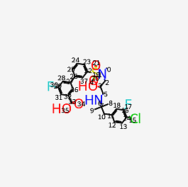 CN(C[C@H](O)CNC(C)(C)Cc1ccc(Cl)c(F)c1)S(=O)(=O)c1cccc(-c2cc(F)cc(C(=O)O)c2)c1